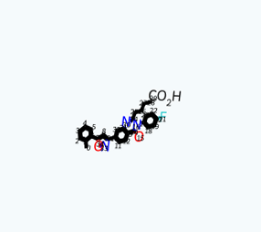 Cc1ccccc1-c1cc(-c2ccc3c(=O)n(-c4ccc(F)cc4)c(CCCCC(=O)O)nc3c2)no1